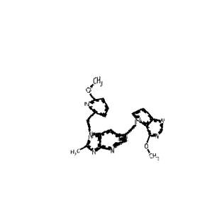 COc1cccc(Cn2c(C)nc3ncc(-n4ccc5ncnc(OC)c54)cc32)n1